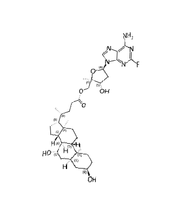 C[C@H](CCC(=O)OC[C@@]1(C)O[C@@H](n2cnc3c(N)nc(F)nc32)C[C@@H]1O)[C@H]1CC[C@H]2[C@@H]3[C@@H](O)C[C@@H]4C[C@H](O)CC[C@]4(C)[C@H]3CC[C@]12C